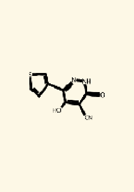 N#Cc1c(O)c(-c2ccsc2)n[nH]c1=O